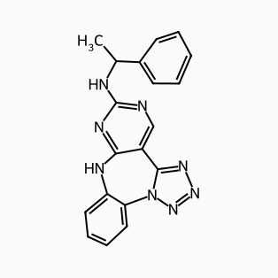 CC(Nc1ncc2c(n1)Nc1ccccc1-n1nnnc1-2)c1ccccc1